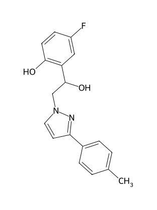 Cc1ccc(-c2ccn(CC(O)c3cc(F)ccc3O)n2)cc1